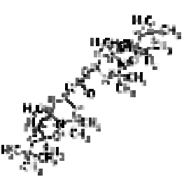 CC(C)(C)CC(C)(C)ON1C(C)(C)CC(OC(=O)OC2CC(C)(C)N(OC(C)(C)CC(C)(C)C)C(C)(C)C2)CC1(C)C